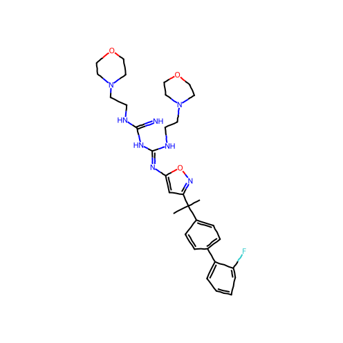 CC(C)(c1ccc(-c2ccccc2F)cc1)c1cc(/N=C(\NCCN2CCOCC2)NC(=N)NCCN2CCOCC2)on1